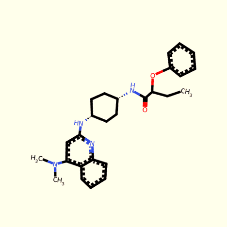 CCC(Oc1ccccc1)C(=O)N[C@H]1CC[C@@H](Nc2cc(N(C)C)c3ccccc3n2)CC1